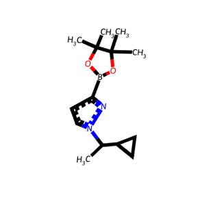 CC(C1CC1)n1ccc(B2OC(C)(C)C(C)(C)O2)n1